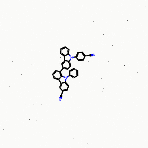 N#Cc1ccc(-n2c3ccccc3c3cc(-c4cccc5c6cc(C#N)ccc6n(-c6ccccc6)c45)ccc32)cc1